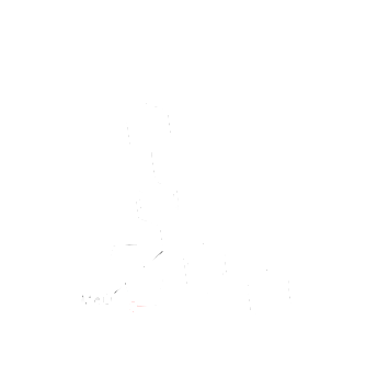 CO[C@@]12CCC[C@]1(C(c1ccc(C3CCCCC3)cc1)c1ccc(C3CCCCC3)cc1)CCO2